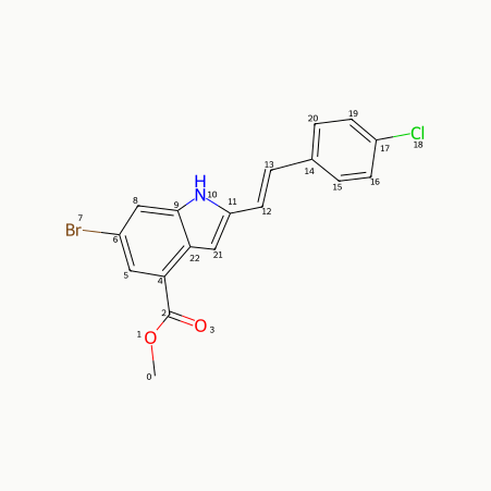 COC(=O)c1cc(Br)cc2[nH]c(/C=C/c3ccc(Cl)cc3)cc12